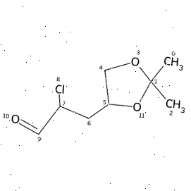 CC1(C)OCC(CC(Cl)C=O)O1